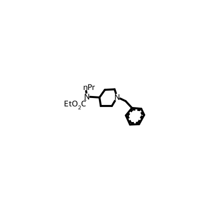 CCCN(C(=O)OCC)C1CCN(Cc2ccccc2)CC1